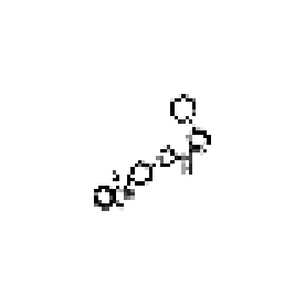 Cc1ccccc1S(=O)(=O)N1CCC(N2CCC(Nc3nccc(N4CCCCCC4)n3)C2)CC1